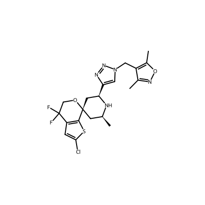 Cc1noc(C)c1Cn1cc([C@@H]2C[C@]3(C[C@H](C)N2)OCC(F)(F)c2cc(Cl)sc23)nn1